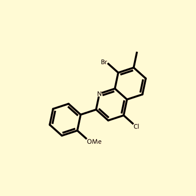 COc1ccccc1-c1cc(Cl)c2ccc(C)c(Br)c2n1